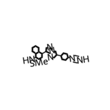 CSNc1ccc(-c2cnn3cc(-c4ccc(N5CCNCC5)cc4)cnc23)c2ccccc12